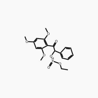 CCO[PH](=O)OC(C(=O)c1c(OC)cc(OC)cc1OC)c1ccccc1